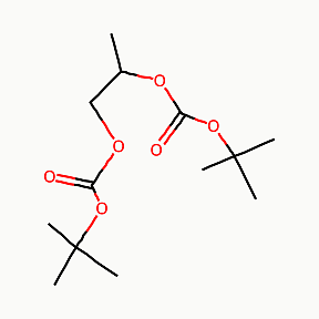 C[C](COC(=O)OC(C)(C)C)OC(=O)OC(C)(C)C